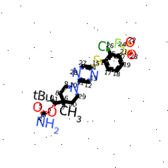 CC(C)(C)C(OC(N)=O)C1(C)CCN(c2cnc(Sc3cccc(S(=O)(=O)F)c3Cl)cn2)CC1